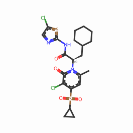 Cc1cc(S(=O)(=O)C2CC2)c(Cl)c(=O)n1[C@H](CC1CCCCC1)C(=O)Nc1ncc(Cl)s1